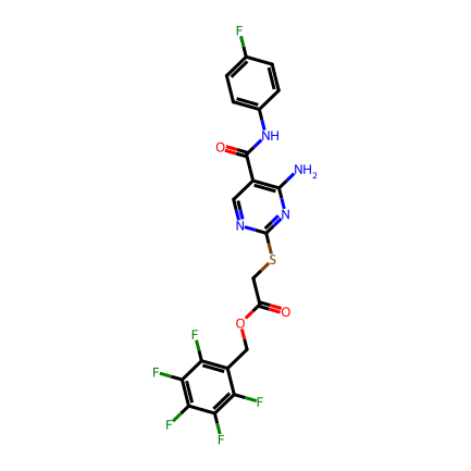 Nc1nc(SCC(=O)OCc2c(F)c(F)c(F)c(F)c2F)ncc1C(=O)Nc1ccc(F)cc1